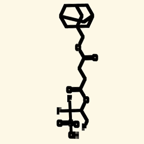 O=C(CCC(=O)OC(CF)C(F)(F)S(=O)(=O)O)OCC12CC3CC(CC(C3)C1)C2